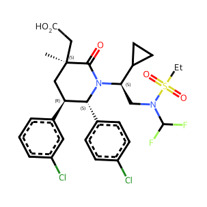 CCS(=O)(=O)N(C[C@H](C1CC1)N1C(=O)[C@](C)(CC(=O)O)C[C@H](c2cccc(Cl)c2)[C@H]1c1ccc(Cl)cc1)C(F)F